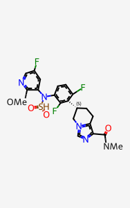 CNC(=O)c1ncn2c1CC[C@@H](c1c(F)ccc(N(c3cc(F)cnc3OC)[SH](=O)=O)c1F)C2